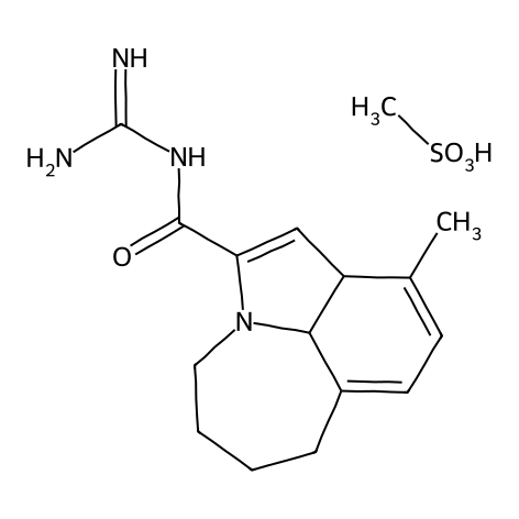 CC1=CC=C2CCCCN3C(C(=O)NC(=N)N)=CC1C23.CS(=O)(=O)O